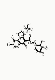 CCN(C)C(=O)c1c(O)c(=O)c(C(=O)NCc2ccc(F)c(Cl)c2F)c2n1CC[C@@H]2NS(C)(=O)=O